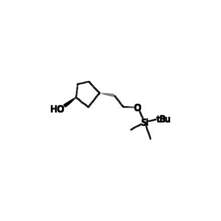 CC(C)(C)[Si](C)(C)OCC[C@H]1CC[C@H](O)C1